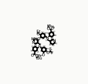 CC(C)Oc1cc(N(Cc2cncnc2)c2cccc(C(=O)OC(C)(C)C)c2)ccc1OC(F)F.CCOc1ccc(N(Cc2cccnc2)c2cccc(C(=O)OC(C)(C)C)c2)cc1OC